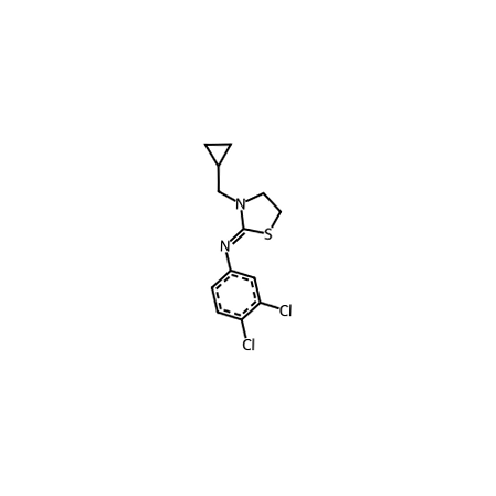 Clc1ccc(/N=C2\SCCN2CC2CC2)cc1Cl